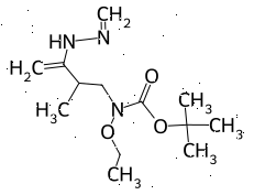 C=NNC(=C)C(C)CN(OCC)C(=O)OC(C)(C)C